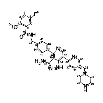 COc1ccc(F)cc1C(=O)NCc1ccc(-c2ncc(-c3ccc(CN4CCNCC4)cn3)c3[nH]nc(N)c23)cc1